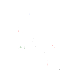 CCOC(=O)/C=C/OC(C)N.Cl